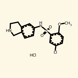 COc1ccc(Cl)cc1S(=O)(=O)Nc1ccc2c(c1)CCNC2.Cl